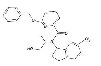 CC(CO)N(C(=O)c1cccc(OCc2ccccc2)n1)C1CCc2ccc(C(F)(F)F)cc21